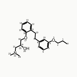 CCCOc1cccc(CCc2ccccc2OC[C@@H](O)CN(C)C)c1